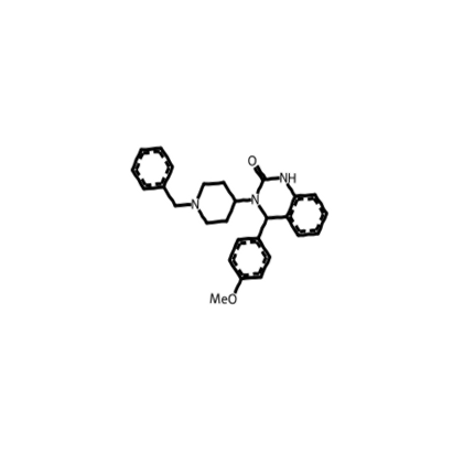 COc1ccc(C2c3ccccc3NC(=O)N2C2CCN(Cc3ccccc3)CC2)cc1